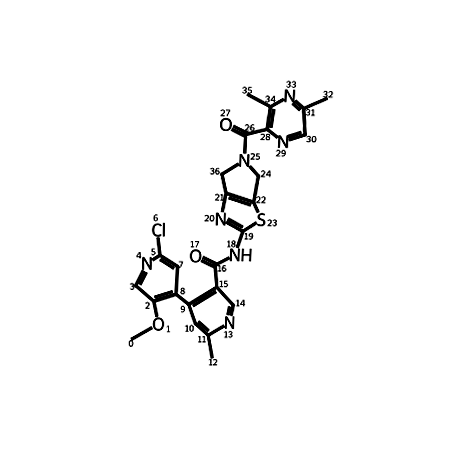 COc1cnc(Cl)cc1-c1cc(C)ncc1C(=O)Nc1nc2c(s1)CN(C(=O)c1ncc(C)nc1C)C2